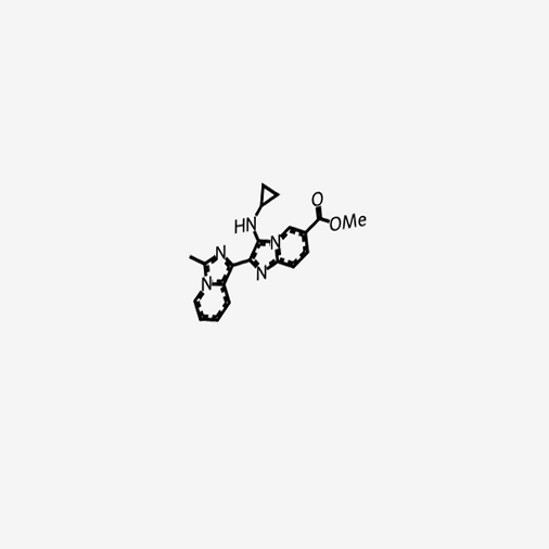 COC(=O)c1ccc2nc(-c3nc(C)n4ccccc34)c(NC3CC3)n2c1